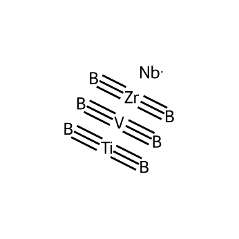 [B]#[Ti]#[B].[B]#[V]#[B].[B]#[Zr]#[B].[Nb]